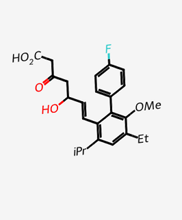 CCc1cc(C(C)C)c(C=CC(O)CC(=O)CC(=O)O)c(-c2ccc(F)cc2)c1OC